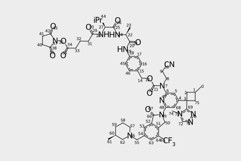 CC1CC(c2cc(N(CCC#N)C(=O)OCc3ccc(NC(=O)[C@H](C)NC(=O)[C@@H](NC(=O)CCCC(=O)ON4C(=O)CCC4=O)C(C)C)cc3)nc(N3Cc4c(cc(CN5CCC[C@H](C)C5)cc4C(F)(F)F)C3=O)c2)(c2nncn2C)C1